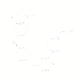 CCN1CCN(c2cc(O[C@H]3CC[C@H](Nc4ccc([N+](=O)[O-])c(C(F)(F)F)c4)CC3)ccn2)CC1